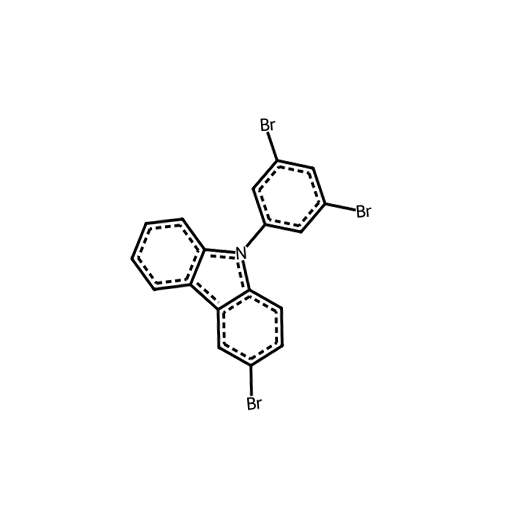 Brc1cc(Br)cc(-n2c3ccccc3c3cc(Br)ccc32)c1